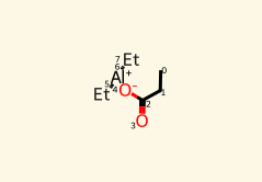 CCC(=O)[O-].C[CH2][Al+][CH2]C